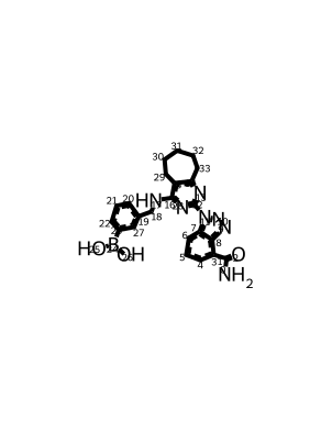 NC(=O)c1cccc2c1nnn2-c1nc2c(c(NCc3cccc(B(O)O)c3)n1)CCCCC2